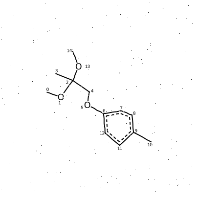 COC(C)(COc1ccc(C)cc1)OC